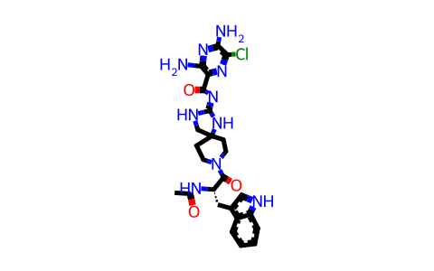 CC(=O)N[C@@H](Cc1c[nH]c2ccccc12)C(=O)N1CCC2(CC1)CN/C(=N\C(=O)c1nc(Cl)c(N)nc1N)N2